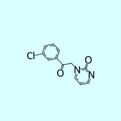 O=C(Cn1cccnc1=O)c1cccc(Cl)c1